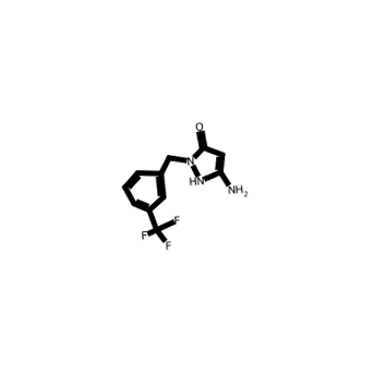 Nc1cc(=O)n(Cc2cccc(C(F)(F)F)c2)[nH]1